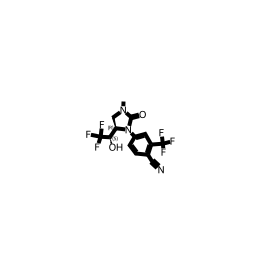 CN1C[C@H]([C@H](O)C(F)(F)F)N(c2ccc(C#N)c(C(F)(F)F)c2)C1=O